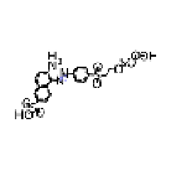 Nc1ccc2cc(S(=O)(=O)O)ccc2c1/N=N/c1ccc(S(=O)(=O)CCOSOOO)cc1